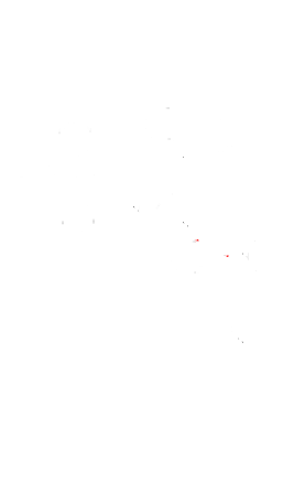 CON=CCCC1C(c2ccc(F)cc2)CC2CCC1N2CCCN(CCSC(c1ccccc1)(c1ccccc1)c1ccccc1)CC(=O)NCCSC(c1ccccc1)(c1ccccc1)c1ccccc1